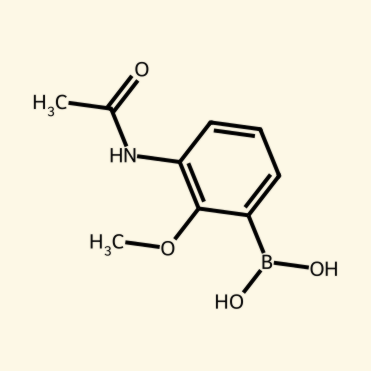 COc1c(NC(C)=O)cccc1B(O)O